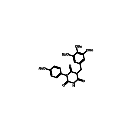 COc1ccc(N2C(=O)NC(=O)C(Cc3cc(OC)c(OC)c(OC)c3)C2=O)cc1